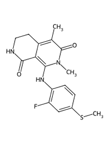 CSc1ccc(Nc2c3c(c(C)c(=O)n2C)CCNC3=O)c(F)c1